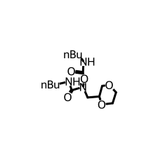 CCCCNC(=O)ON(CC1COCCO1)C(=O)NCCCC